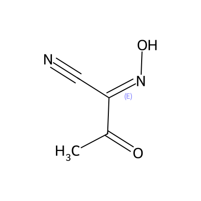 CC(=O)/C(C#N)=N/O